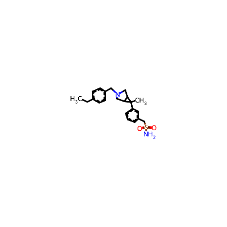 CCc1ccc(CN2CC3C(C2)C3(C)c2cccc(CS(N)(=O)=O)c2)cc1